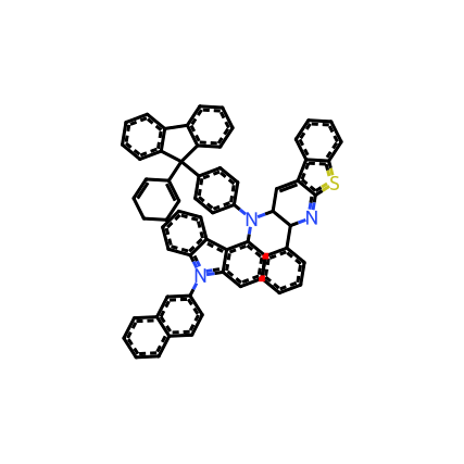 C1=CC(C2(c3ccc(N(c4cccc5c4c4ccccc4n5-c4ccc5ccccc5c4)C4C=c5c(sc6ccccc56)=NC4c4ccccc4)cc3)c3ccccc3-c3ccccc32)=CCC1